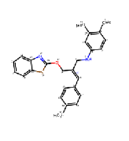 COc1ccc(NC/C(=C/c2ccc(C(=O)O)cc2)COc2nc3ccccc3s2)cc1OC